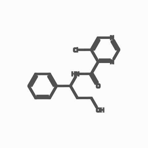 O=C(NC(CCO)c1ccccc1)c1ncncc1Cl